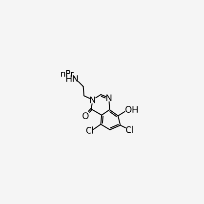 CCCNCCn1cnc2c(O)c(Cl)cc(Cl)c2c1=O